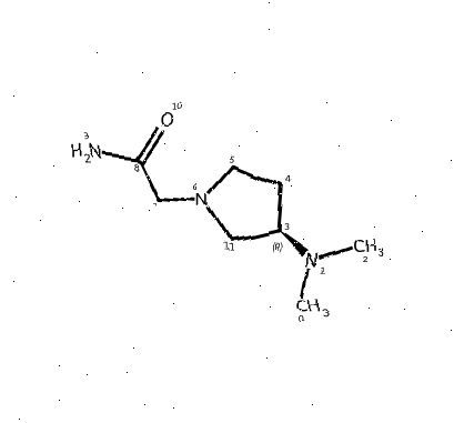 CN(C)[C@@H]1CCN(CC(N)=O)C1